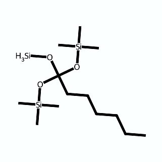 CCCCCCC(O[SiH3])(O[Si](C)(C)C)O[Si](C)(C)C